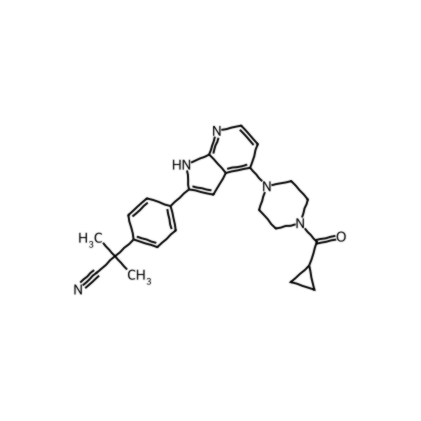 CC(C)(C#N)c1ccc(-c2cc3c(N4CCN(C(=O)C5CC5)CC4)ccnc3[nH]2)cc1